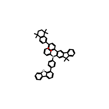 CC1(C)CCC(C)(C)c2cc(-c3ccc(-c4cc5c(cc4N(c4ccccc4)c4ccc(-c6cccc7c6oc6ccccc67)cc4)C(C)(C)c4ccccc4-5)cc3)ccc21